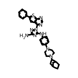 Nc1nc(Nc2ccc(N3CCN(C4CC5CCC4C5)CC3)cc2)n(-c2ncnc3sc(-c4ccccc4)cc23)n1